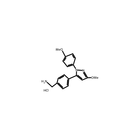 COc1ccc(-n2nc(OC)cc2-c2ccc(CN)cc2)cc1.Cl